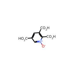 O=C(O)c1cc(C(=O)O)c(C(=O)O)[n+]([O-])c1